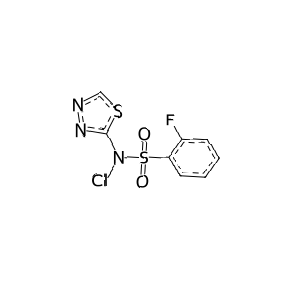 O=S(=O)(c1ccccc1F)N(Cl)c1nncs1